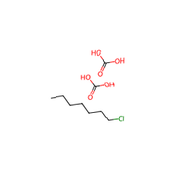 CCCCCCCCl.O=C(O)O.O=C(O)O